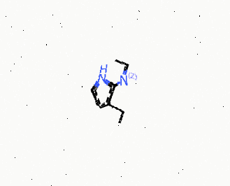 C/C=N\c1[nH]ccc1CC